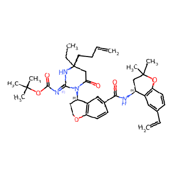 C=CCCC1(CC)CC(=O)N([C@@H]2CCOc3ccc(C(=O)N[C@H]4CC(C)(C)Oc5ccc(C=C)cc54)cc32)/C(=N/C(=O)OC(C)(C)C)N1